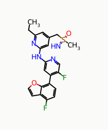 CCc1cc(CS(C)(=N)=O)cc(Nc2cc(-c3ccc(F)c4ccoc34)c(F)cn2)n1